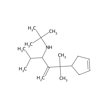 C=C(C(NC(C)(C)C)C(C)C)C(C)(C)C1CC=CC1